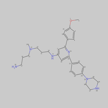 COc1ccc(-c2cc(NCCCN(C)CCCN)cc(-c3ccc(N4CCNCC4)cc3)n2)cc1